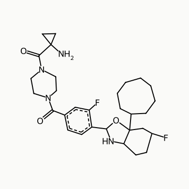 NC1(C(=O)N2CCN(C(=O)c3ccc(C4NC5CCC(F)CC5(C5CCCCCCC5)O4)c(F)c3)CC2)CC1